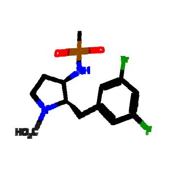 CS(=O)(=O)N[C@@H]1CCN(C(=O)O)[C@@H]1Cc1cc(F)cc(Br)c1